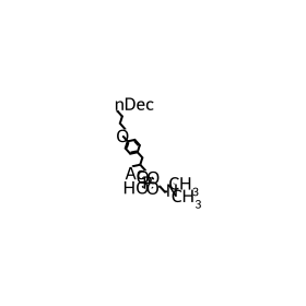 CCCCCCCCCCCCCCOc1ccc(CC(COP(=O)(O)OCCN(C)C)CC(C)=O)cc1